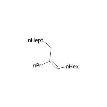 CCCCCCC=C(CCC)CCCCCCCC